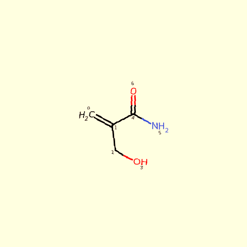 C=C(CO)C(N)=O